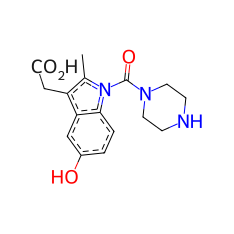 Cc1c(CC(=O)O)c2cc(O)ccc2n1C(=O)N1CCNCC1